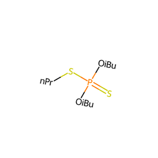 CCCSP(=S)(OCC(C)C)OCC(C)C